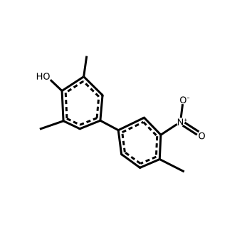 Cc1ccc(-c2cc(C)c(O)c(C)c2)cc1[N+](=O)[O-]